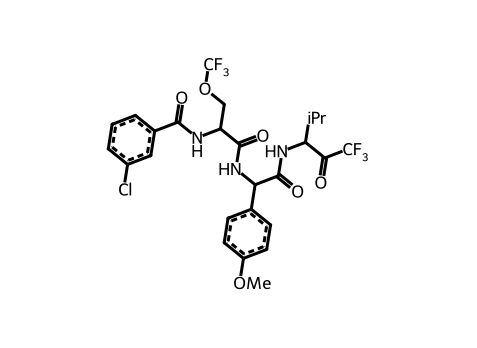 COc1ccc(C(NC(=O)C(COC(F)(F)F)NC(=O)c2cccc(Cl)c2)C(=O)NC(C(=O)C(F)(F)F)C(C)C)cc1